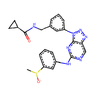 C[S+]([O-])c1cccc(Nc2ncc3nnn(-c4cccc(CNC(=O)C5CC5)c4)c3n2)c1